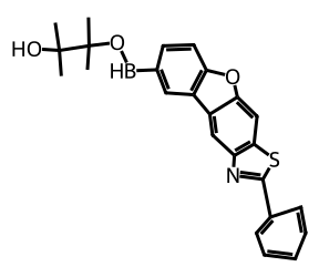 CC(C)(O)C(C)(C)OBc1ccc2oc3cc4sc(-c5ccccc5)nc4cc3c2c1